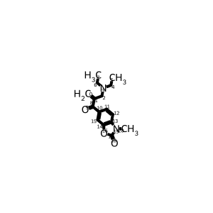 C=C(CN(CC)CC)C(=O)c1ccc2c(c1)oc(=O)n2C